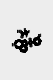 O=C(O)C(F)(F)F.O=S(=O)(c1cccc(Cl)c1)n1cc2c3c(cccc31)CNCC2